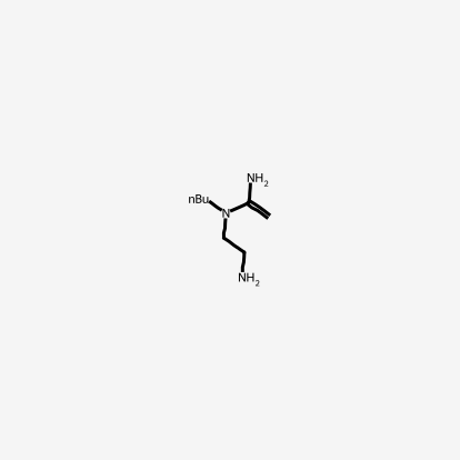 C=C(N)N(CCN)CCCC